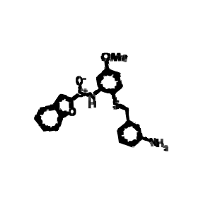 COc1ccc(SCc2cccc(N)c2)c(N[S+]([O-])c2cc3ccccc3o2)c1